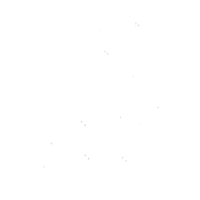 CNc1c(-c2cccc(-c3cnccn3)c2)nc2ccccn12